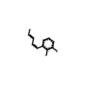 C/C=C/C=C\c1cccc(C)c1C